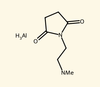 CNCCN1C(=O)CCC1=O.[AlH3]